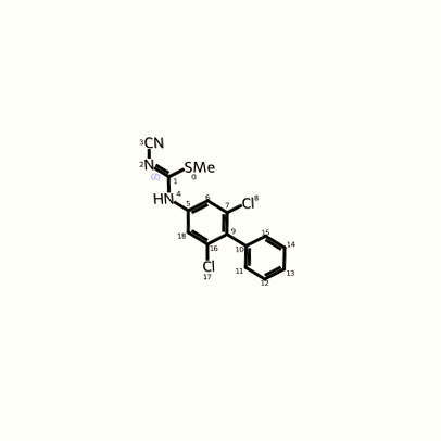 CS/C(=N\C#N)Nc1cc(Cl)c(-c2ccccc2)c(Cl)c1